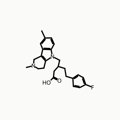 Cc1ccc2c(c1)c1c(n2CC(CCc2ccc(F)cc2)CC(=O)O)CCN(C)C1